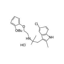 Cc1[nH]c2ccc(Cl)cc2c1CC(C)(C)NCCOc1ccccc1OCC(C)C.Cl